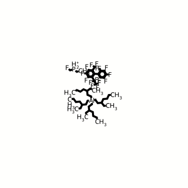 CCCCC(CC)C[CH2][Al-]([CH2]CC(CC)CCCC)([CH2]CC(CC)CCCC)[CH2]CC(CC)CCCC.CC[PH2+]CF.Fc1c(F)c(F)c(-c2c(C(F)(F)F)c(F)c(F)c(F)c2C(F)(F)C(F)(F)F)c(F)c1F